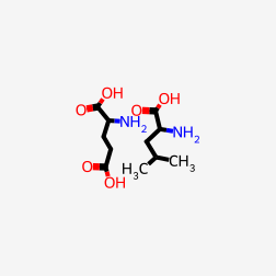 CC(C)CC(N)C(=O)O.NC(CCC(=O)O)C(=O)O